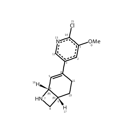 COc1cc(C2=C[C@H]3NC[C@H]3CC2)cnc1Cl